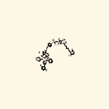 CC(C)C(NC(=O)CCCCCN1C(=O)C=CC1=O)C(=O)NCC(=O)Nc1ccc(COC(=O)N2C[C@H](F)[C@@H]3CN([C@@H](c4nc(-c5cc(F)ccc5F)cn4Cc4ccccc4)C4CCOCC4)C(=O)C(O)[C@H]32)cc1